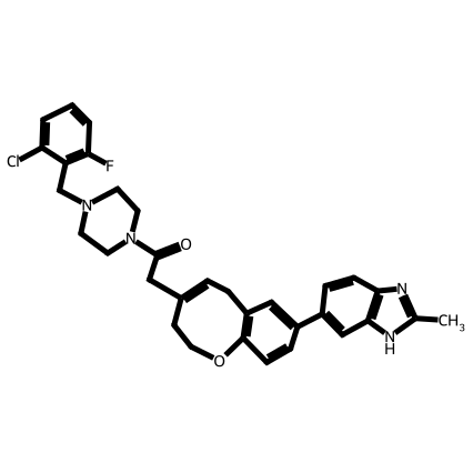 Cc1nc2ccc(-c3ccc4c(c3)C/C=C(/CC(=O)N3CCN(Cc5c(F)cccc5Cl)CC3)CCO4)cc2[nH]1